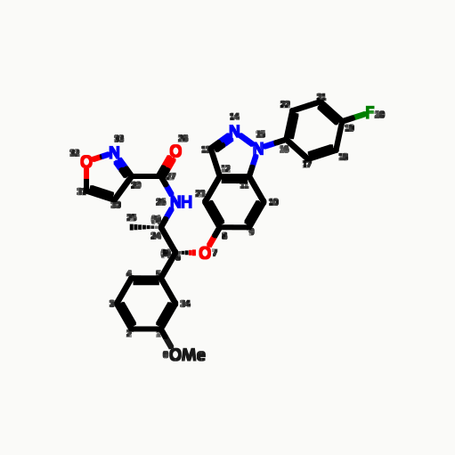 COc1cccc([C@@H](Oc2ccc3c(cnn3-c3ccc(F)cc3)c2)[C@H](C)NC(=O)c2ccon2)c1